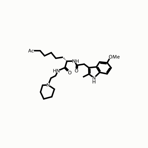 COc1ccc2[nH]c(C)c(CC(=O)N[C@@H](CCCCCC(C)=O)C(=O)NCCN3CCCCC3)c2c1